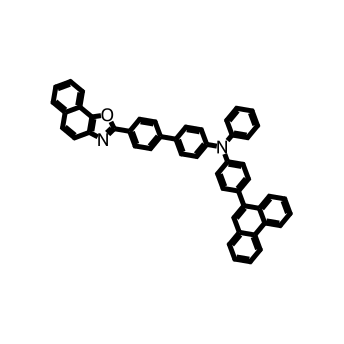 c1ccc(N(c2ccc(-c3ccc(-c4nc5ccc6ccccc6c5o4)cc3)cc2)c2ccc(-c3cc4ccccc4c4ccccc34)cc2)cc1